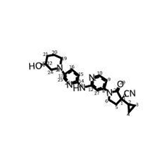 N#C[C@@]1(C2CC2)CCN(c2ccnc(Nc3ccc(N4CCC[C@@H](O)C4)cn3)c2)C1=O